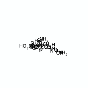 CC(ON=C(C(=O)NC1C(=O)N(OS(=O)(=O)O)C1(C)C)c1csc(N)n1)(C(=O)O)C1CCc2cc(C(=N)NC3CCC(O)(CN)CC3)ccc2O1